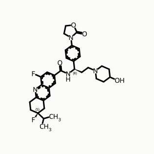 CC(C)[C@]1(F)CCc2nc3c(F)cc(C(=O)N[C@H](CCN4CCC(O)CC4)c4ccc(N5CCOC5=O)cc4)cc3cc2C1